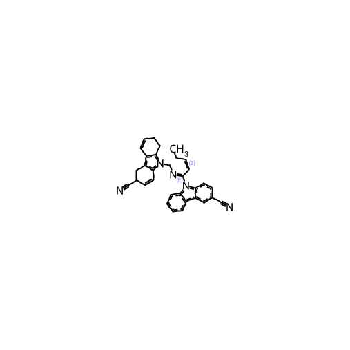 CC/C=C\C(=N/Cn1c2c(c3c1CCC=C3)CC(C#N)C=C2)n1c2ccccc2c2cc(C#N)ccc21